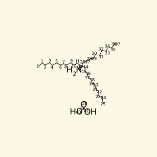 CCCCCCCCCCCCC(N)(CCCCCCCCCCCC)CCCCCCCCCCCC.O=C(O)O